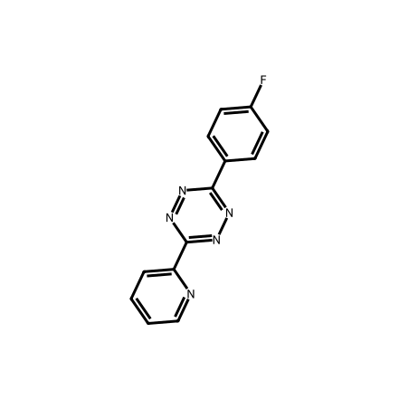 Fc1ccc(-c2nnc(-c3ccccn3)nn2)cc1